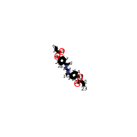 C=CC(=O)Oc1ccc(/C(C)=C/C=C(\C)c2ccc(OC(=O)C=C)cc2)cc1